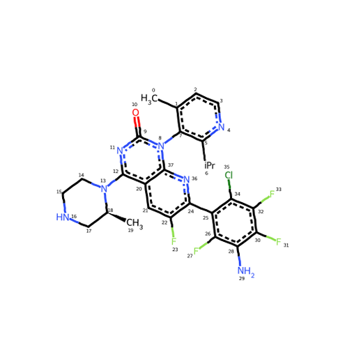 Cc1ccnc(C(C)C)c1-n1c(=O)nc(N2CCNC[C@@H]2C)c2cc(F)c(-c3c(F)c(N)c(F)c(F)c3Cl)nc21